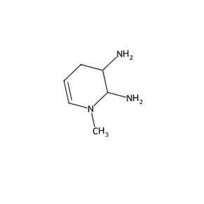 CN1C=CCC(N)C1N